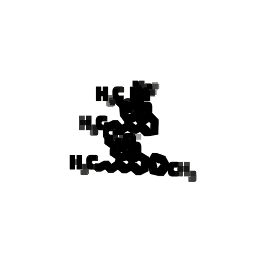 CCCCc1cc2ccccc2c(S(=O)(=O)[O-])c1CCCC.CCCCc1cc2ccccc2c(S(=O)(=O)[O-])c1CCCC.Cc1ccccc1.[Na+].[Na+]